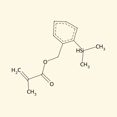 C=C(C)C(=O)OCc1ccccc1[SiH](C)C